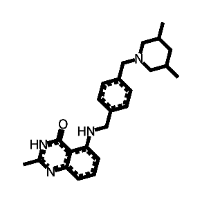 Cc1nc2cccc(NCc3ccc(CN4CC(C)CC(C)C4)cc3)c2c(=O)[nH]1